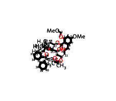 COCOc1cc(OC)cc(/C=C/C[C@@H]2OC(C)(C)O[C@@H]2C(O)C#CC(C)(F)C(C)O[Si](c2ccccc2)(c2ccccc2)C(C)(C)C)c1C(=O)OCC[Si](C)(C)C